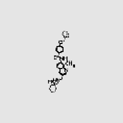 Cc1c(NC(=O)c2ccc(OCC3CCCO3)cc2)ccc2cc(CNCC3(O)CCCCC3)cnc12